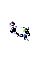 CN/C=C(\C=N)c1cc2c(cc1C(F)F)N(c1nn(C3CCN(C(=O)CCCNc4ccc(C(=O)NC5CCC(=O)NC5=O)c5ncccc45)CC3)c3c1CN(C(C)=O)CC3)CCC2